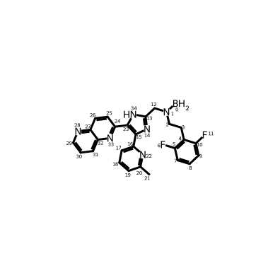 BN(CCc1c(F)cccc1F)Cc1nc(-c2cccc(C)n2)c(-c2ccc3ncccc3n2)[nH]1